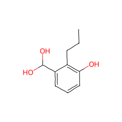 CCCc1c(O)cccc1C(O)O